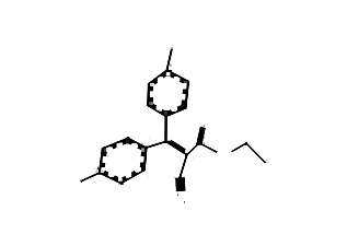 CCOC(=O)C(C#N)=C(c1ccc(C)cc1)c1ccc(C)cc1